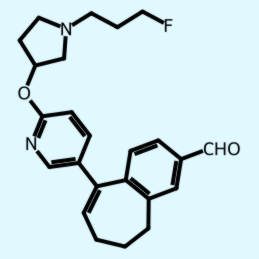 O=Cc1ccc2c(c1)CCCC=C2c1ccc(OC2CCN(CCCF)C2)nc1